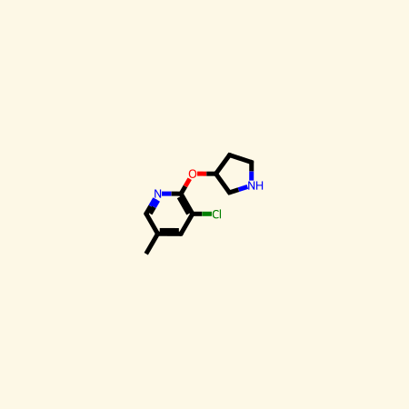 Cc1cnc(OC2CCNC2)c(Cl)c1